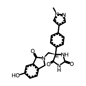 Cn1cc(-c2ccc([C@]3(CN4Cc5ccc(O)cc5C4=O)NC(=O)NC3=O)cc2)cn1